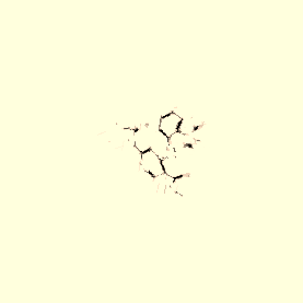 CNC(=O)c1cnc(NC(N)=O)cc1Nc1ccccc1S(C)(=O)=O